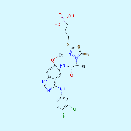 CCOc1cc2ncnc(Nc3ccc(F)c(Cl)c3)c2cc1NC(=O)C(CC)n1nc(SCCCP(=O)(O)O)sc1=S